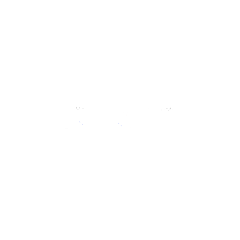 COc1ccc(S(=O)(=O)n2ccc3c(CN(C)C)c(OC)ccc32)cc1